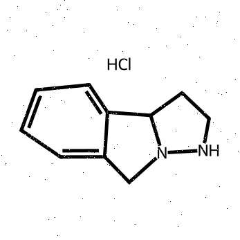 Cl.c1ccc2c(c1)CN1NCCC21